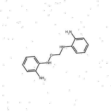 Nc1ccccc1NCONc1ccccc1N